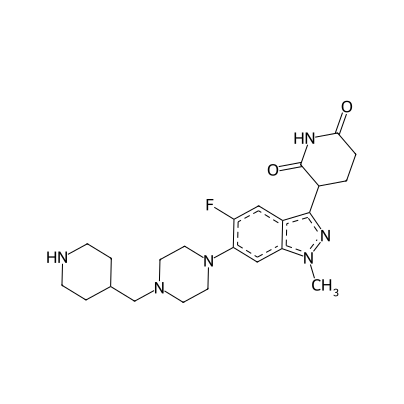 Cn1nc(C2CCC(=O)NC2=O)c2cc(F)c(N3CCN(CC4CCNCC4)CC3)cc21